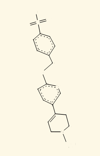 CS(=O)(=O)c1ccc(COc2ccc(C3=CCN(C(=O)O)CC3)cn2)cc1